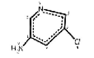 Nc1cn[c]c(Cl)c1